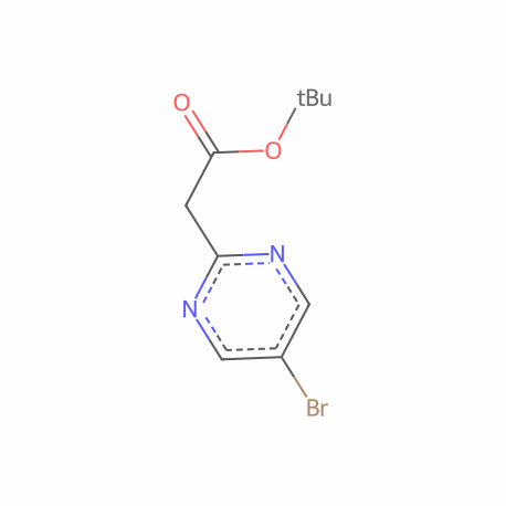 CC(C)(C)OC(=O)Cc1ncc(Br)cn1